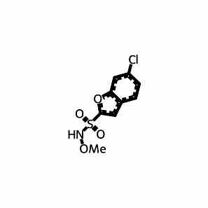 CONS(=O)(=O)c1cc2ccc(Cl)cc2o1